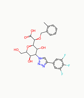 Cc1ccccc1CO[C@H](C(=O)O)[C@@H]1OC(CO)[C@H](O)C(n2cc(-c3cc(F)c(F)c(F)c3)nn2)C1O